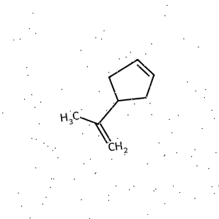 C=C(C)C1CC=CC1